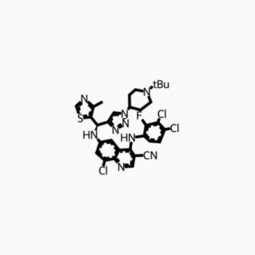 Cc1ncsc1[C@H](Nc1cc(Cl)c2ncc(C#N)c(Nc3ccc(Cl)c(Cl)c3F)c2c1)c1cn(C2CCN(C(C)(C)C)CC2)nn1